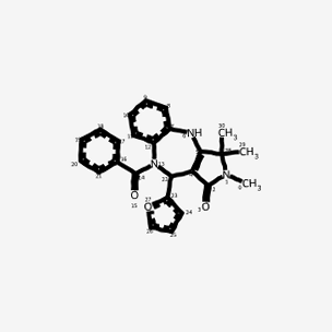 CN1C(=O)C2=C(Nc3ccccc3N(C(=O)c3ccccc3)C2c2ccco2)C1(C)C